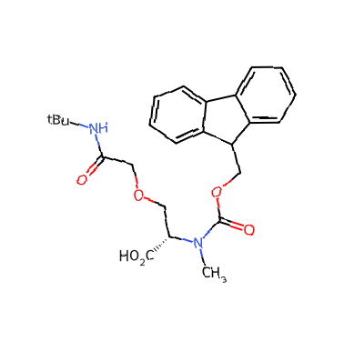 CN(C(=O)OCC1c2ccccc2-c2ccccc21)[C@@H](COCC(=O)NC(C)(C)C)C(=O)O